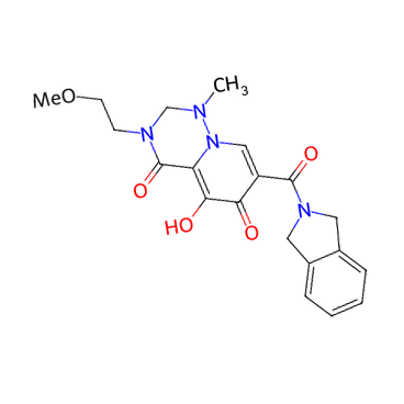 COCCN1CN(C)n2cc(C(=O)N3Cc4ccccc4C3)c(=O)c(O)c2C1=O